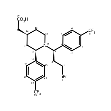 CC(C)CC[C@H](c1ccc(C(F)(F)F)cc1)N1CC[C@H](CC(=O)O)C[C@@H]1c1ccc(C(F)(F)F)cc1